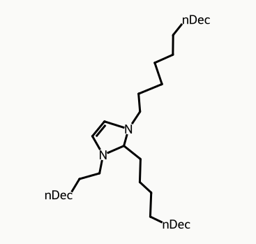 CCCCCCCCCCCCCCCCN1C=CN(CCCCCCCCCCCC)C1CCCCCCCCCCCCCC